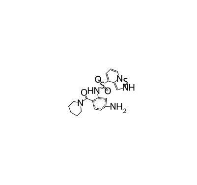 Nc1ccc(C(=O)N2CCCCC2)c(NS(=O)(=O)C2=CC=CN3SNC=C23)c1